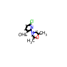 C[C@@H]1CN(c2nc(Cl)ccc2C=O)C[C@H](C)O1